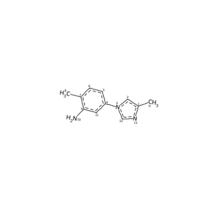 Cc1cn(-c2ccc(C)c(N)c2)cn1